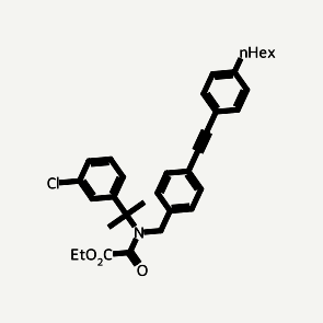 CCCCCCc1ccc(C#Cc2ccc(CN(C(=O)C(=O)OCC)C(C)(C)c3cccc(Cl)c3)cc2)cc1